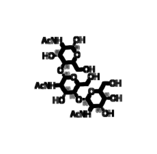 CC(=O)NC1[C@H](O[C@@H]2C(CO)O[C@@H](O[C@@H]3C(CO)O[C@@H](O)C(NC(C)=O)[C@H]3O)C(NC(C)=O)[C@H]2O)OC(CO)[C@@H](O)[C@@H]1O